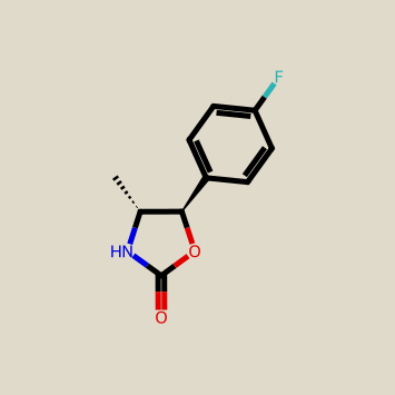 C[C@H]1NC(=O)O[C@@H]1c1ccc(F)cc1